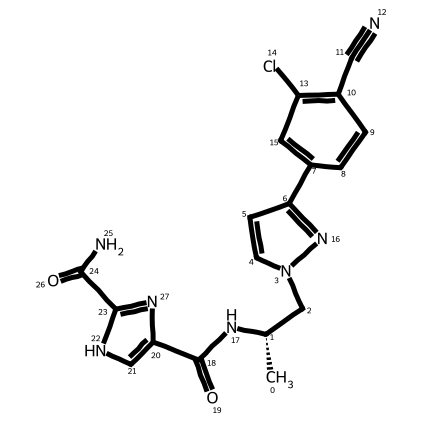 C[C@@H](Cn1ccc(-c2ccc(C#N)c(Cl)c2)n1)NC(=O)c1c[nH]c(C(N)=O)n1